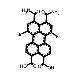 NC(=O)c1cc(Br)c2c3ccc(C(=O)O)c4c(C(=O)O)ccc(c5c(Br)cc(C(N)=O)c1c25)c43